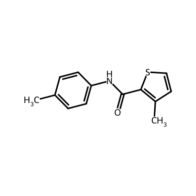 Cc1ccc(NC(=O)c2sccc2C)cc1